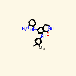 Cc1ccc(Nc2cc(N[C@@H]3CCCC[C@@H]3N)cc3c2C(=O)NCC3)cc1C(F)(F)F